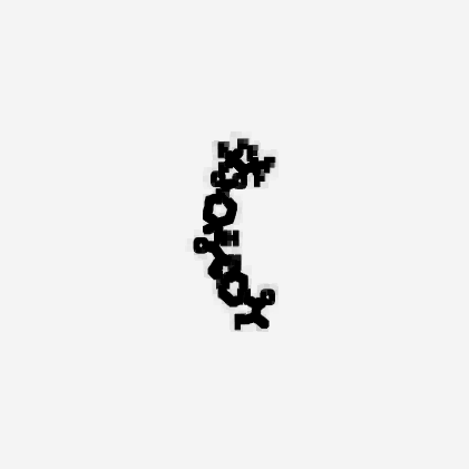 CC(F)C(=O)N1CCn2cc(C(=O)NC3(C)CCN(C(=O)OC(C(F)(F)F)C(F)(F)F)CC3)nc2C1